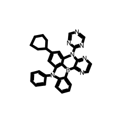 c1ccc(N2c3ccccc3B3c4nccnc4N(c4ncncn4)c4cc(C5CCCCC5)cc2c43)cc1